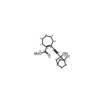 CCC12CCC(CC1(O)C#CC1=C(C(=O)OC)CCCCC1)C2